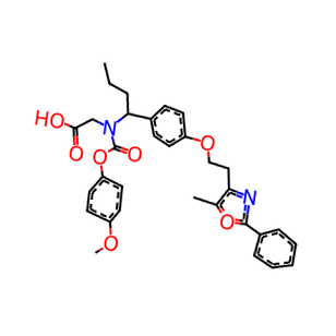 CCCC(c1ccc(OCCc2nc(-c3ccccc3)oc2C)cc1)N(CC(=O)O)C(=O)Oc1ccc(OC)cc1